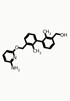 Cc1c(CO)cccc1-c1cccc(COc2cccc(N)n2)c1C